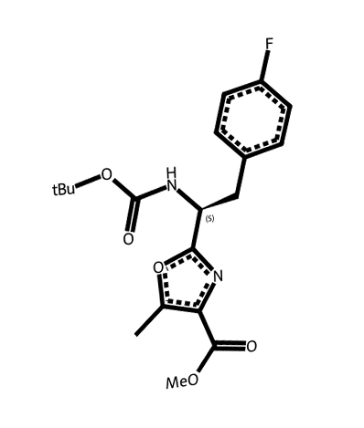 COC(=O)c1nc([C@H](Cc2ccc(F)cc2)NC(=O)OC(C)(C)C)oc1C